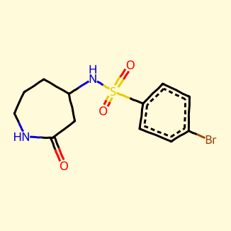 O=C1CC(NS(=O)(=O)c2ccc(Br)cc2)CCCN1